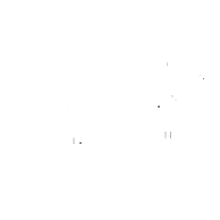 NC(=O)ON=C(C1CCC(NC(=O)[CH]c2ccccc2)CC1)N1CCCC1